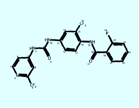 O=C(Nc1ccnc(C(F)(F)F)c1)Nc1ccc(NC(=O)c2ccccc2F)c(C(F)(F)F)c1